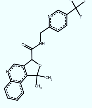 CC1(C)OC(C(=O)NCc2ccc(C(F)(F)F)cn2)c2cnc3ccccc3c21